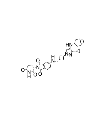 O=C1CCC(N2C(=O)c3ccc(NC[C@H]4C[C@H](n5cc(NC6CCOCC6)c(C6CC6)n5)C4)cc3C2=O)C(=O)N1